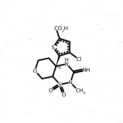 CN1C(=N)N[C@@]2(c3sc(C(=O)O)cc3Cl)CCOCC2S1(=O)=O